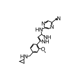 COc1cc(CNC2CC2)ccc1C1=CC(Nc2cnc(C#N)cn2)NN1